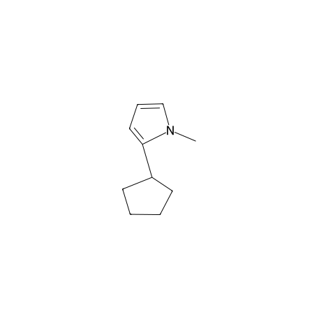 Cn1cccc1C1CCCC1